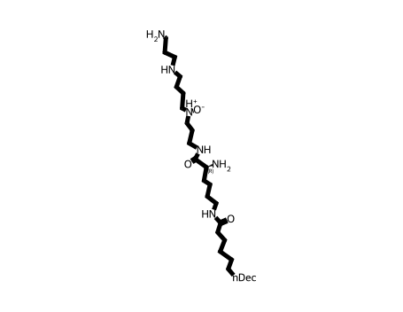 CCCCCCCCCCCCCCCC(=O)NCCCC[C@@H](N)C(=O)NCCC[NH+]([O-])CCCCNCCCN